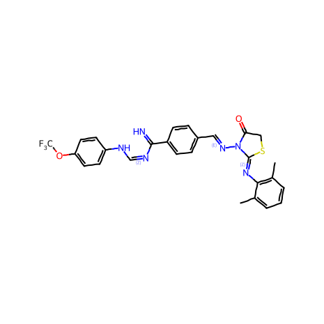 Cc1cccc(C)c1/N=C1\SCC(=O)N1/N=C/c1ccc(C(=N)/N=C\Nc2ccc(OC(F)(F)F)cc2)cc1